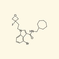 O=C(NCC1CCCCCC1)c1cn(CCC2(F)COC2)c2cccc(Br)c12